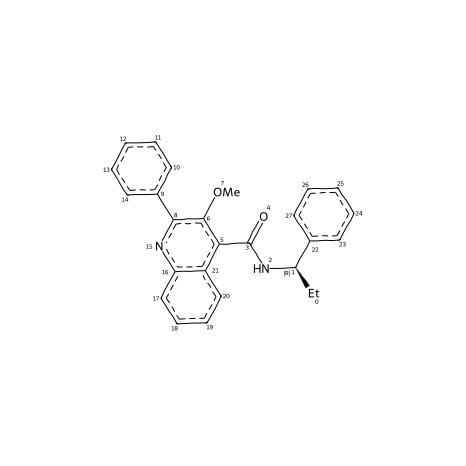 CC[C@@H](NC(=O)c1c(OC)c(-c2ccccc2)nc2ccccc12)c1ccccc1